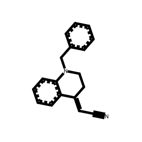 N#CC=C1CCN(Cc2ccccc2)c2ccccc21